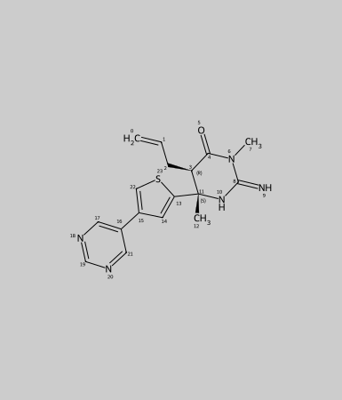 C=CC[C@H]1C(=O)N(C)C(=N)N[C@]1(C)c1cc(-c2cncnc2)cs1